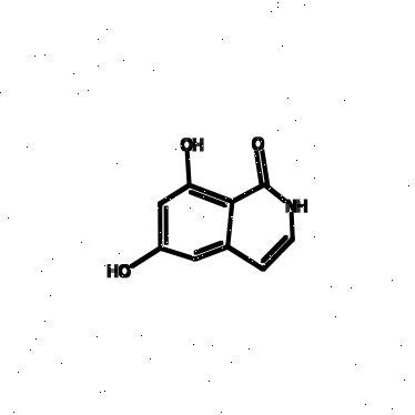 O=c1[nH]ccc2cc(O)cc(O)c12